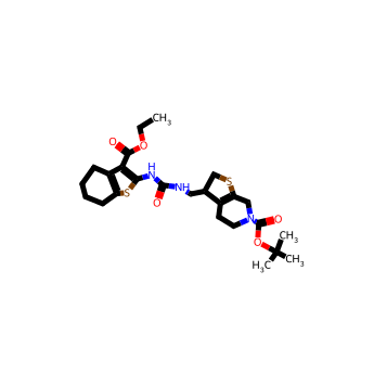 CCOC(=O)c1c(NC(=O)NCC2CSC3=C2CCN(C(=O)OC(C)(C)C)C3)sc2c1CCCC2